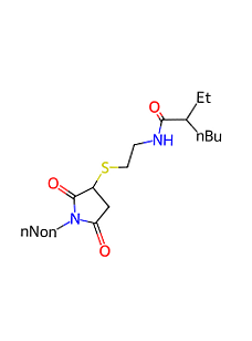 CCCCCCCCCN1C(=O)CC(SCCNC(=O)C(CC)CCCC)C1=O